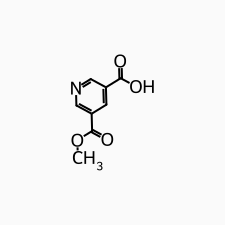 COC(=O)c1cncc(C(=O)O)c1